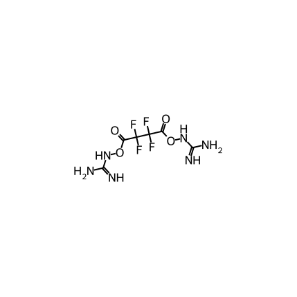 N=C(N)NOC(=O)C(F)(F)C(F)(F)C(=O)ONC(=N)N